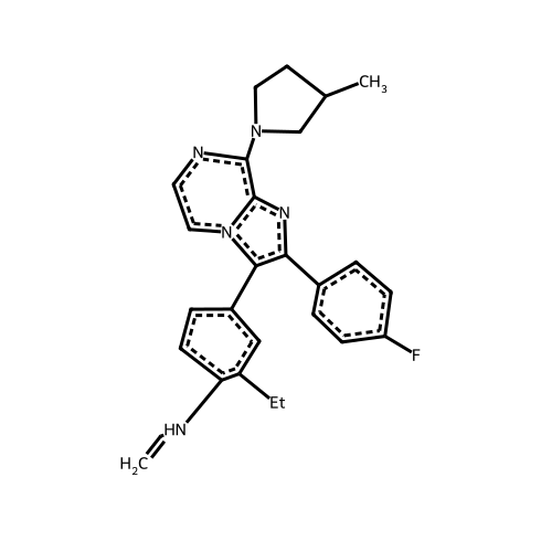 C=CNc1ccc(-c2c(-c3ccc(F)cc3)nc3c(N4CCC(C)C4)nccn23)cc1CC